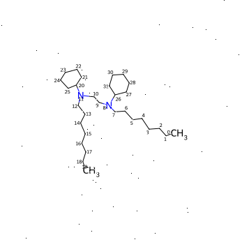 CCCCCCCCN(CCN(CCCCCCCC)C1CCCCC1)C1CCCCC1